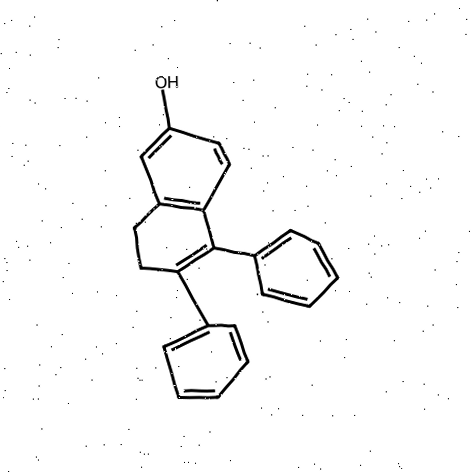 Oc1ccc2c(c1)CCC(c1ccccc1)=C2c1[c]cccc1